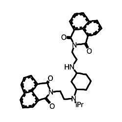 CC(C)N(CCN1C(=O)c2cccc3cccc(c23)C1=O)C1CCCC(NCCN2C(=O)c3cccc4cccc(c34)C2=O)C1